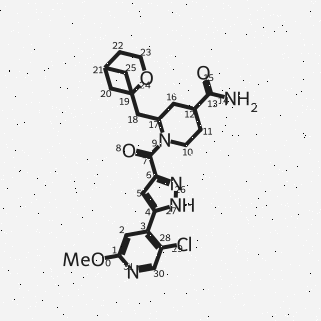 COc1cc(-c2cc(C(=O)N3CCC(C(N)=O)CC3CC34CC(CCO3)C4)n[nH]2)c(Cl)cn1